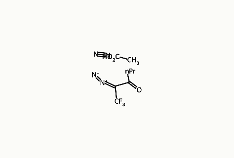 CC(=O)O.CCCC(=O)C(=[N+]=[N-])C(F)(F)F.N#N